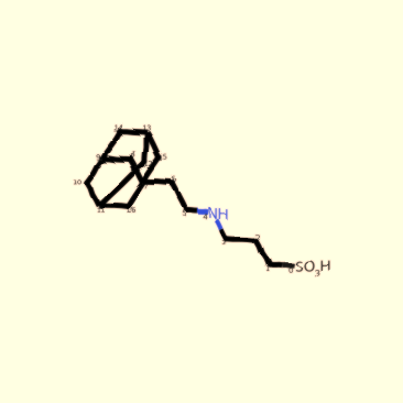 O=S(=O)(O)CCCNCCC12CC3CC(CC(C3)C1)C2